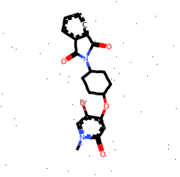 Cn1cc(Br)c(OC2CCC(N3C(=O)c4ccccc4C3=O)CC2)cc1=O